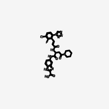 O=C(/C=C/c1c(-n2cnnn2)ccc(Cl)c1F)NC(CC(=O)N1CCCCC1)C(=O)Nc1ccc2[nH]c(C(=O)O)nc2c1